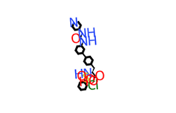 O=C(Nc1ccncc1)Nc1cccc(-c2ccc(C[C@H](NS(=O)(=O)c3ccccc3Cl)C(=O)O)cc2)c1